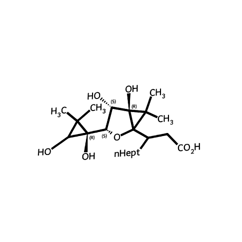 CCCCCCCC(CC(=O)O)C12O[C@H]([C@]3(O)C(O)C3(C)C)[C@H](O)[C@]1(O)C2(C)C